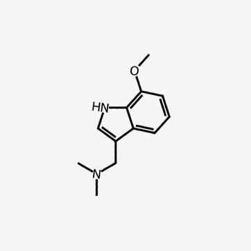 COc1cccc2c(CN(C)C)c[nH]c12